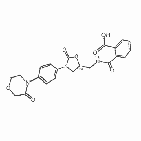 O=C(O)c1ccccc1C(=O)NC[C@H]1CN(c2ccc(N3CCOCC3=O)cc2)C(=O)O1